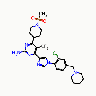 CS(=O)(=O)N1CCC(c2nc(N)nc(-c3cn(-c4ccc(CN5CCCCC5)cc4Cl)cn3)c2C(F)(F)F)CC1